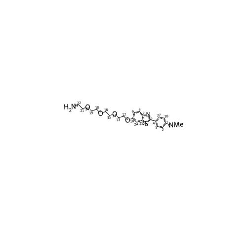 CNc1ccc(-c2nc3ccc(OCCOCCOCCOCCN)cc3s2)cc1